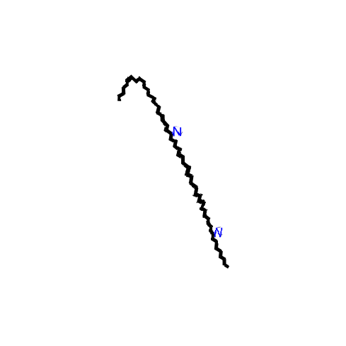 CCCCC/C=C\C/C=C\CCCCCCCCCCCC(CCCCCCCCCCCCCCC=CCCCCCCCC(CCCCCCCC)N(C)C)N(C)C